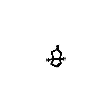 C1=C[C@H]2CNC[C@H]2C1